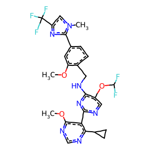 COc1cc(-c2nc(C(F)(F)F)cn2C)ccc1CNc1nc(-c2c(OC)ncnc2C2CC2)ncc1OC(F)F